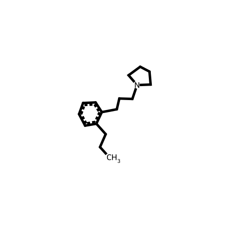 CCCc1ccccc1CCCN1CCCC1